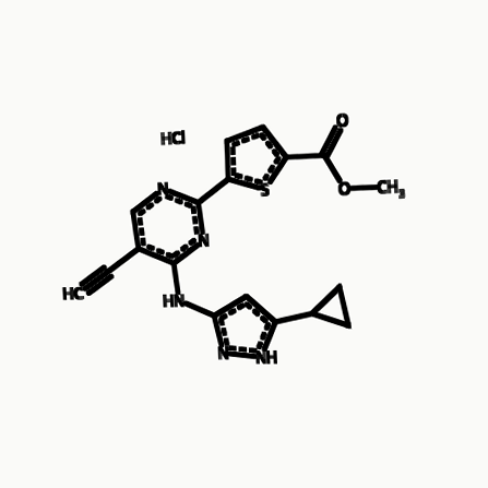 C#Cc1cnc(-c2ccc(C(=O)OC)s2)nc1Nc1cc(C2CC2)[nH]n1.Cl